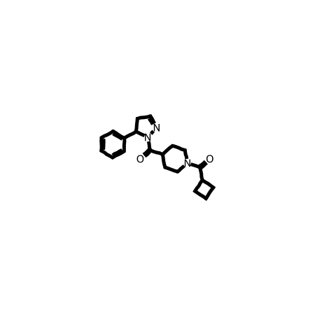 O=C(C1CCC1)N1CCC(C(=O)N2N=CCC2c2ccccc2)CC1